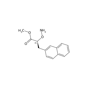 COC(=O)[C@H](Cc1ccc2ccccc2c1)ON